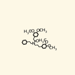 COc1ccc(CCCN(CCc2ccccc2)C(=O)Cc2ccc(OC)c(OC)c2)cc1OC